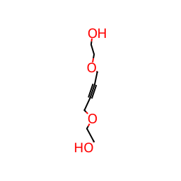 OCCOCC#CCOCCO